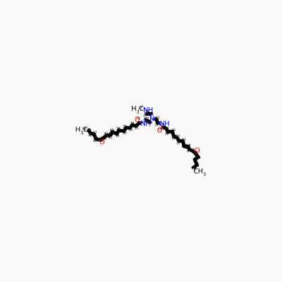 CCCCCC1OC1CC=CCCCCCCCC(=O)NCCN(CCNC)CCNC(=O)CCCCCCCC=CCC1OC1CCCCC